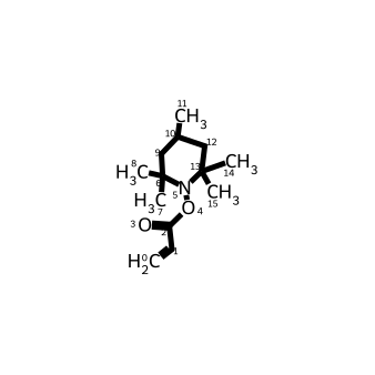 C=CC(=O)ON1C(C)(C)CC(C)CC1(C)C